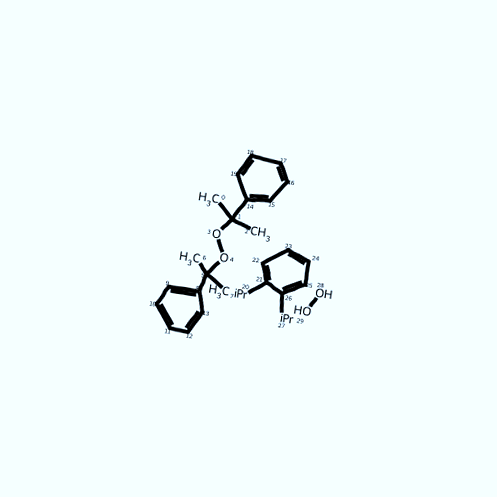 CC(C)(OOC(C)(C)c1ccccc1)c1ccccc1.CC(C)c1ccccc1C(C)C.OO